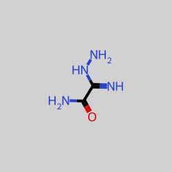 N=C(NN)C(N)=O